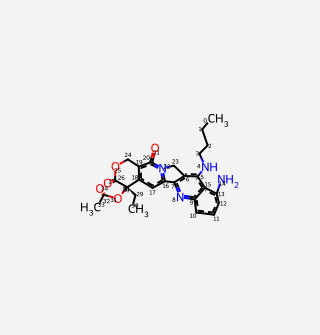 CCCCNc1c2c(nc3cccc(N)c13)-c1cc3c(c(=O)n1C2)COC(=O)[C@@]3(CC)OC(C)=O